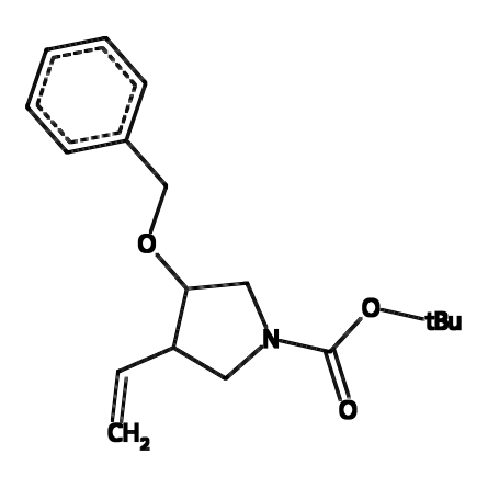 C=CC1CN(C(=O)OC(C)(C)C)CC1OCc1ccccc1